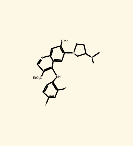 CCOC(=O)c1cnc2cc(OC)c(N3CCC(N(C)C)C3)cc2c1Nc1ccc(F)cc1F